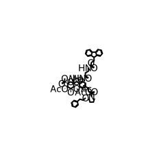 COC(=O)[C@H]1OC(Oc2ccc(COC(=O)N3CCCC3OCCc3ccccc3)cc2NC(=O)CCNC(=O)OCC2c3ccccc3-c3ccccc32)[C@H](OC(C)=O)[C@@H](OC(C)=O)[C@@H]1OC(C)=O